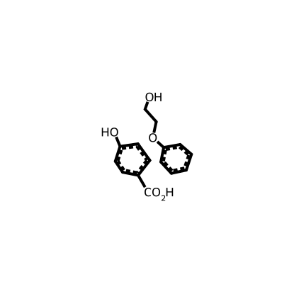 O=C(O)c1ccc(O)cc1.OCCOc1ccccc1